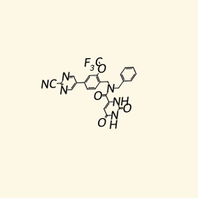 N#Cc1ncc(-c2ccc(CN(Cc3ccccc3)C(=O)c3cc(=O)[nH]c(=O)[nH]3)c(OC(F)(F)F)c2)cn1